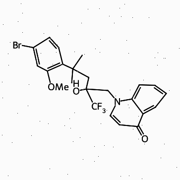 COc1cc(Br)ccc1C(C)(C)CC(O)(Cn1ccc(=O)c2ccccc21)C(F)(F)F